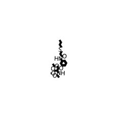 CCCCSCCC(=O)Nc1cccc(OC(OC(C)=O)C(COC)NC(C)=O)c1